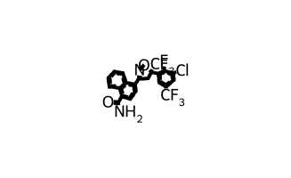 NC(=O)c1ccc(C2=NO[C@@](c3cc(C(F)(F)F)cc(Cl)c3F)(C(F)(F)F)C2)c2ccccc12